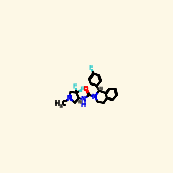 CN1C[C@H](NC(=O)N2CCc3ccccc3[C@@H]2c2ccc(F)cc2)C(F)(F)C1